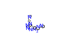 Nc1ncnc2c1c(-c1ccc3ccc(-c4ccccn4)nc3c1)cn2C1CC(CN2CCC2)C1